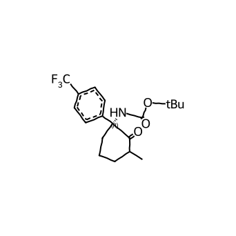 CC1CCC[C@@](NC(=O)OC(C)(C)C)(c2ccc(C(F)(F)F)cc2)C1=O